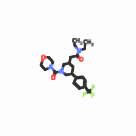 CCN(CC)C(=O)CC1CC(c2ccc(C(F)(F)F)cc2)CN(C(=O)N2CCOCC2)C1